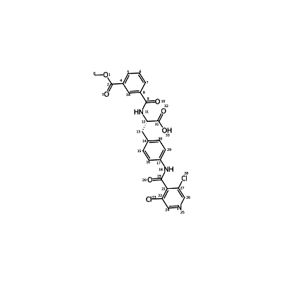 COC(=O)c1cccc(C(=O)N[C@@H](Cc2ccc(NC(=O)c3c(Cl)cncc3Cl)cc2)C(=O)O)c1